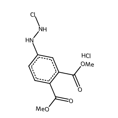 COC(=O)c1ccc(NNCl)cc1C(=O)OC.Cl